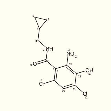 O=C(NCC1CC1)c1c(Cl)cc(Cl)c(O)c1[N+](=O)[O-]